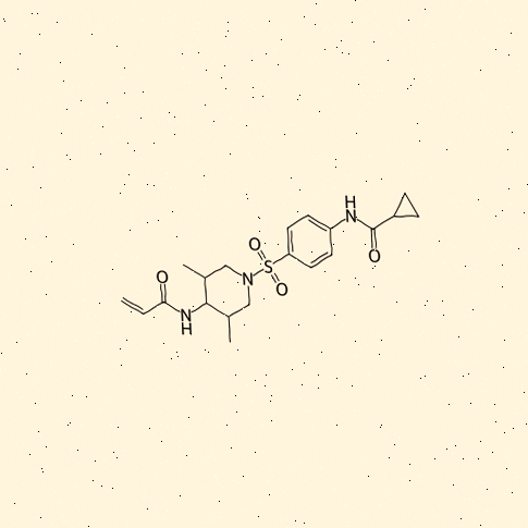 C=CC(=O)NC1C(C)CN(S(=O)(=O)c2ccc(NC(=O)C3CC3)cc2)CC1C